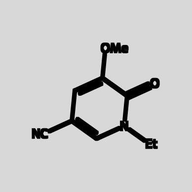 CCn1cc(C#N)cc(OC)c1=O